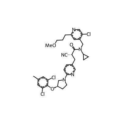 COCCCc1cc(CN(C(=O)[C@@H](C#N)Cc2ccc(N3CC[C@@H](Oc4c(Cl)cc(C)cc4Cl)C3)nc2)C2CC2)c(Cl)cn1